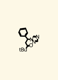 CC(C)(C)C(=O)CC(c1ccccc1)n1cncn1